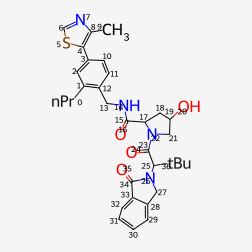 CCCc1cc(-c2scnc2C)ccc1CNC(=O)C1CC(O)CN1C(=O)C(N1Cc2ccccc2C1=O)C(C)(C)C